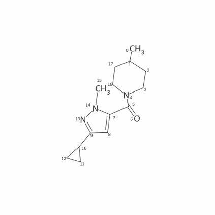 CC1CCN(C(=O)c2cc(C3CC3)nn2C)CC1